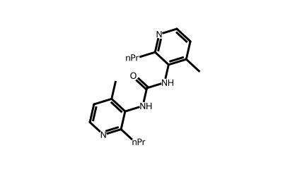 CCCc1nccc(C)c1NC(=O)Nc1c(C)ccnc1CCC